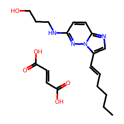 CCCC/C=C/c1cnc2ccc(NCCCO)nn12.O=C(O)/C=C/C(=O)O